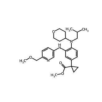 COCc1ccc(Nc2cc(C3(C(=O)OC)CC3)ccc2N(CC(C)C)C2CCOCC2)cn1